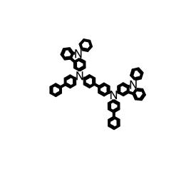 C1=C(n2c3ccccc3c3cc(N(c4ccc(-c5ccccc5)cc4)c4ccc(-c5ccc(N(c6ccc(-c7ccccc7)cc6)c6ccc7c(c6)c6ccccc6n7-c6ccccc6)cc5)cc4)ccc32)CCCC1